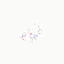 CS(=O)(=O)n1ccc(C(N)=O)c1CC(=O)Nc1nc(-c2cccc(C3=CCCOC3)c2)cs1